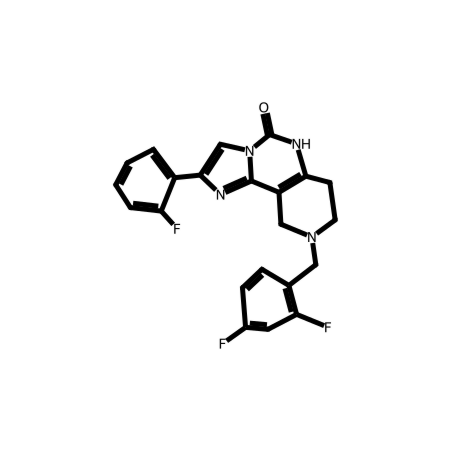 O=c1[nH]c2c(c3nc(-c4ccccc4F)cn13)CN(Cc1ccc(F)cc1F)CC2